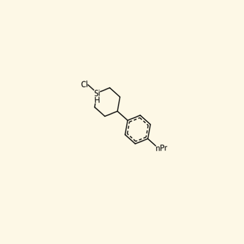 CCCc1ccc(C2CC[SiH](Cl)CC2)cc1